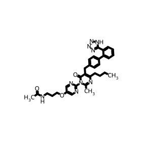 CCCCc1nc(C)n(-c2ncc(OCCCNC(C)=O)cn2)c(=O)c1Cc1ccc(-c2ccccc2-c2nnn[nH]2)cc1